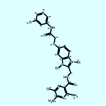 CCn1c(CNC(=O)c2nc(Cl)c(N)nc2N)[n+](CC)c2ccc(OCC(=O)Nc3cncc([O-])c3)cc21